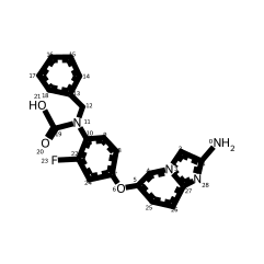 Nc1cn2cc(Oc3ccc(N(Cc4ccccc4)C(=O)O)c(F)c3)ccc2n1